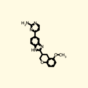 COc1cccc2c1CC(c1nc3cc(-c4ccnc(N)n4)ccc3[nH]1)CO2